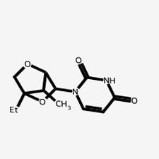 CCC12COC(C(n3ccc(=O)[nH]c3=O)O1)C2C